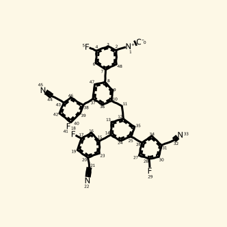 [C-]#[N+]c1cc(F)cc(-c2cc(Cc3cc(-c4cc(F)cc(C#N)c4)cc(-c4cc(F)cc(C#N)c4)c3)cc(-c3cc(F)cc(C#N)c3)c2)c1